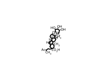 CC(=O)[C@H](C)CC[C@@]1(C(=O)O)C=C2C=C[C@@H]3[C@@]4(C)CC[C@H](O[C@@H]5OC[C@H](O)[C@H](O)[C@H]5O)C(C)(C)[C@@H]4CC[C@@]3(C)[C@]2(C)CC1